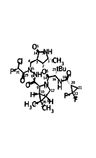 C[C@@H]1C[C@@H](CN(NC(=O)[C@@H]2[C@@H]3[C@H](CN2C(=O)[C@@H](NC(=O)[C@@H]2CC2(F)F)C(C)(C)C)C3(C)C)C(=O)[C@@H](F)Cl)C(=O)N1